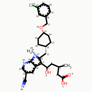 CC(CC(=O)O)CC(O)c1c(C[C@H]2CC[C@@H](OCc3cccc(Cl)c3)CC2)n(C)c2ncc(C#N)cc12